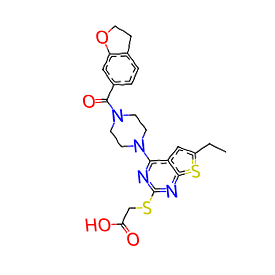 CCc1cc2c(N3CCN(C(=O)c4ccc5c(c4)OCC5)CC3)nc(SCC(=O)O)nc2s1